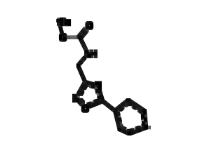 CC(C)(C)OC(=O)NCc1noc(-c2cc[c]cc2)n1